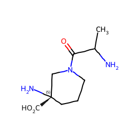 CC(N)C(=O)N1CCC[C@@](N)(C(=O)O)C1